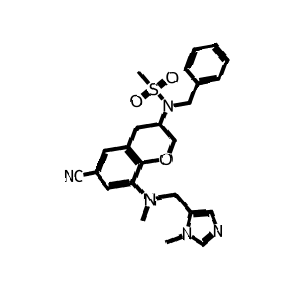 CN(Cc1cncn1C)c1cc(C#N)cc2c1OCC(N(Cc1ccccc1)S(C)(=O)=O)C2